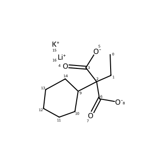 CCC(C(=O)[O-])(C(=O)[O-])C1CCCCC1.[K+].[Li+]